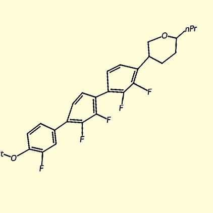 CCCC1CCC(c2ccc(-c3ccc(-c4ccc(OCC)c(F)c4)c(F)c3F)c(F)c2F)CO1